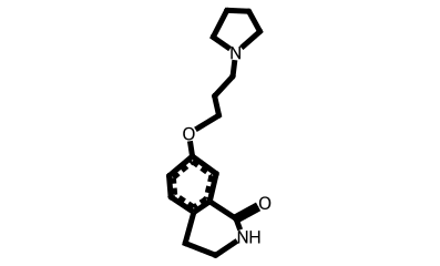 O=C1NCCc2ccc(OCCCN3CCCC3)cc21